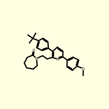 COc1ccc(-c2ccc(-c3ccc(C(C)(C)C)cc3)c(CCN3CCCCCC3=O)n2)cc1